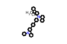 CC1(C)c2cc(N(c3ccc(-c4ccc(-c5ccc6c(c5)c5c(n6-c6ccccc6)=CCCC=5)cc4)cc3)c3cccc4ccccc34)ccc2C2C=CC=CC21